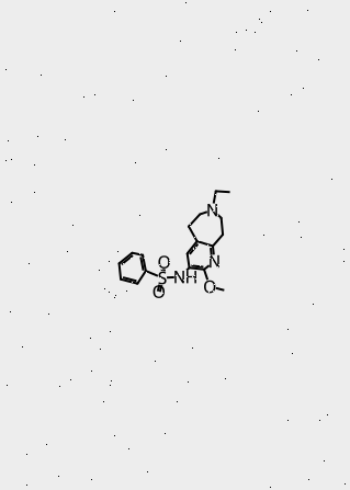 CCN1CCc2cc(NS(=O)(=O)c3ccccc3)c(OC)nc2CC1